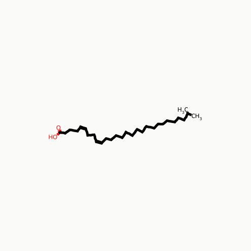 CC(C)CCCCCCCCCCCCCCCC/C=C\CC/C=C\CCCC(=O)O